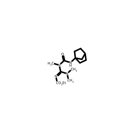 CCOC(=O)N=C(N(C)C)N(C)C(=O)NC12CCC(CC1)C2